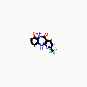 O=C1Nc2c(O)cccc2Nc2nc(C(F)(F)F)ccc21